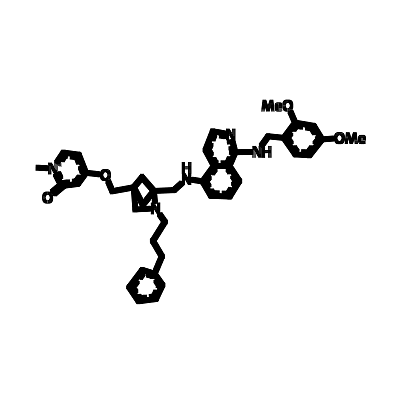 COc1ccc(CNc2nccc3c(NCC45CC(COc6ccn(C)c(=O)c6)(CN4CCCc4ccccc4)C5)cccc23)c(OC)c1